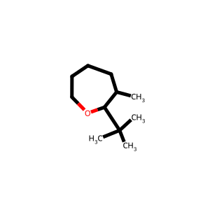 CC1CCCCOC1C(C)(C)C